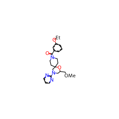 CCOc1cccc(C(=O)N2CCC3(CC2)CN(c2ncccn2)CC(COC)O3)c1